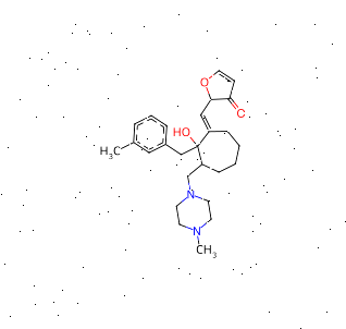 Cc1cccc(CC2(O)C(=CC3OC=CC3=O)CCCCC2CN2CCN(C)CC2)c1